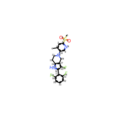 Cc1cc(S(C)(=O)=O)ncc1N1CCc2[nH]c(-c3c(F)cccc3F)c(F)c2C1